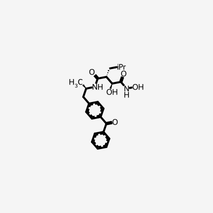 CC(C)C[C@@H](C(=O)N[C@H](C)Cc1ccc(C(=O)c2ccccc2)cc1)[C@H](O)C(=O)NO